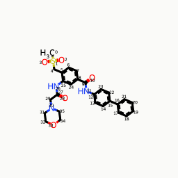 CS(=O)(=O)Cc1ccc(C(=O)Nc2ccc(-c3ccccc3)cc2)cc1NC(=O)CN1CCOCC1